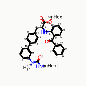 CCCCCCCNC(=O)N(C)c1cccc(-c2ccc(C[C@H](Nc3ccccc3C(=O)c3ccccc3)C(=O)OCCCCCC)cc2)c1